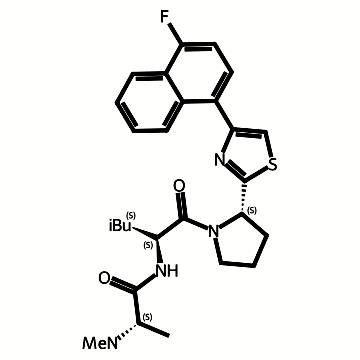 CC[C@H](C)[C@H](NC(=O)[C@H](C)NC)C(=O)N1CCC[C@H]1c1nc(-c2ccc(F)c3ccccc23)cs1